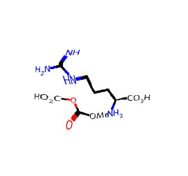 COC(=O)OC(=O)O.N=C(N)NCCC[C@H](N)C(=O)O